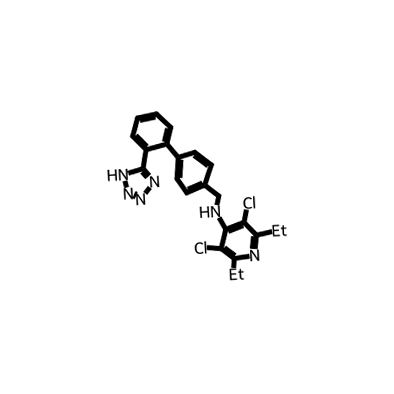 CCc1nc(CC)c(Cl)c(NCc2ccc(-c3ccccc3-c3nnn[nH]3)cc2)c1Cl